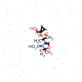 CC1(C)OC[C@H](C(C)(C)S(=O)(=O)C2(CO)CC2)N1C(=O)O